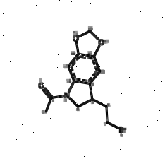 CC(=O)N1CC(CCBr)c2cc3c(cc21)OCO3